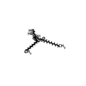 CCCCCCCCCCCCC(=O)OC[C@H](COP(=O)(O)OC[C@@H](O)CO)OC(=O)CCCCCCCCCCC